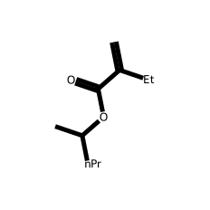 C=C(CC)C(=O)OC(C)CCC